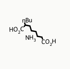 CCCCC(CCCCCC(=O)O)C(=O)O.N